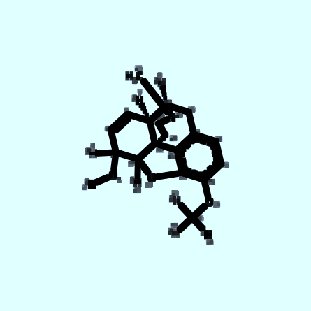 [2H]OC1([2H])C=C[C@@]2([2H])[C@@]3([2H])Cc4ccc(OC([2H])([2H])[2H])c5c4[C@@]2(CCN3C)C1([2H])O5